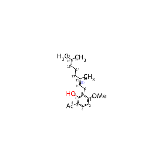 COc1ccc(C(C)=O)c(O)c1C/C=C(\C)CCC=C(C)C